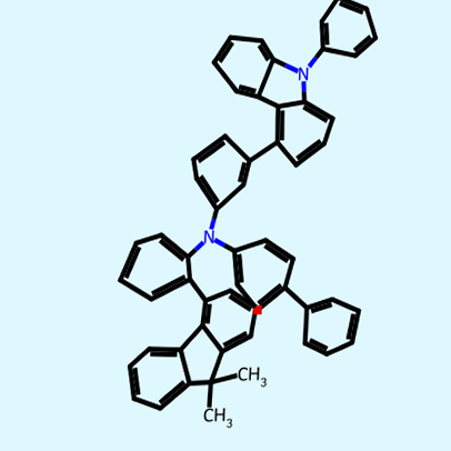 CC1(C)c2ccccc2-c2c(-c3ccccc3N(c3ccc(-c4ccccc4)cc3)c3cccc(-c4cccc5c4c4ccccc4n5-c4ccccc4)c3)cccc21